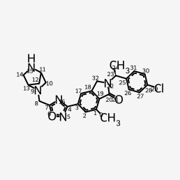 Cc1cc(-c2noc(CN3CC4CC3CN4)n2)cc2c1C(=O)N([C@@H](C)c1ccc(Cl)cc1)C2